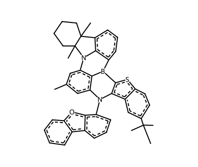 Cc1cc2c3c(c1)N1c4c(cccc4C4(C)CCCCC14C)B3c1sc3ccc(C(C)(C)C)cc3c1N2c1cccc2c1oc1ccccc12